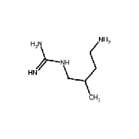 CC(CCN)CNC(=N)N